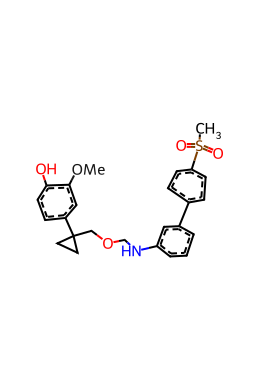 COc1cc(C2(COCNc3cccc(-c4ccc(S(C)(=O)=O)cc4)c3)CC2)ccc1O